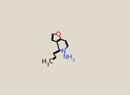 C=C/C=C1/c2ccoc2C=CN1N